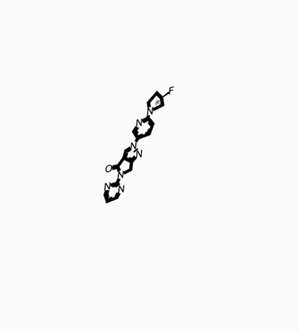 O=C1c2cn(-c3ccc(N4CC[C@@H](F)C4)nc3)nc2CN1c1ncccn1